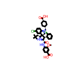 COc1cc(C(=O)O)ccc1NC(=O)[C@@H]1N[C@@H](CC(C)(C)C)[C@@]2(CN(C[C@H]3CC[C@H](C(=O)O)CC3)c3ccc(Cl)cc32)[C@H]1c1ccccc1Cl